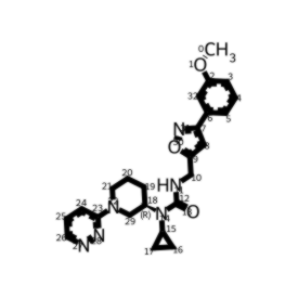 COc1cccc(-c2cc(CNC(=O)N(C3CC3)[C@@H]3CCCN(c4cccnn4)C3)on2)c1